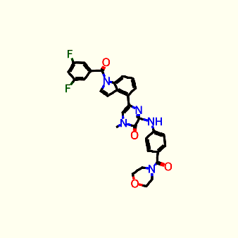 Cn1cc(-c2cccc3c2ccn3C(=O)c2cc(F)cc(F)c2)nc(Nc2ccc(C(=O)N3CCOCC3)cc2)c1=O